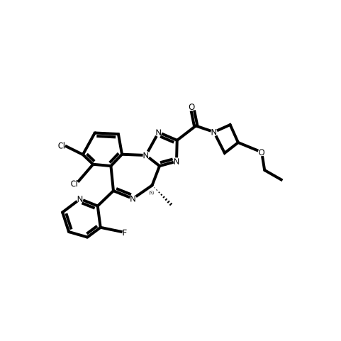 CCOC1CN(C(=O)c2nc3n(n2)-c2ccc(Cl)c(Cl)c2C(c2ncccc2F)=N[C@H]3C)C1